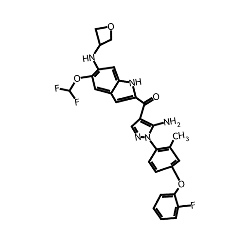 Cc1cc(Oc2ccccc2F)ccc1-n1ncc(C(=O)c2cc3cc(OC(F)F)c(NC4COC4)cc3[nH]2)c1N